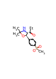 CCC(=O)[C@H]1NC(C)(C)O[C@@H]1c1ccc(S(C)(=O)=O)cc1